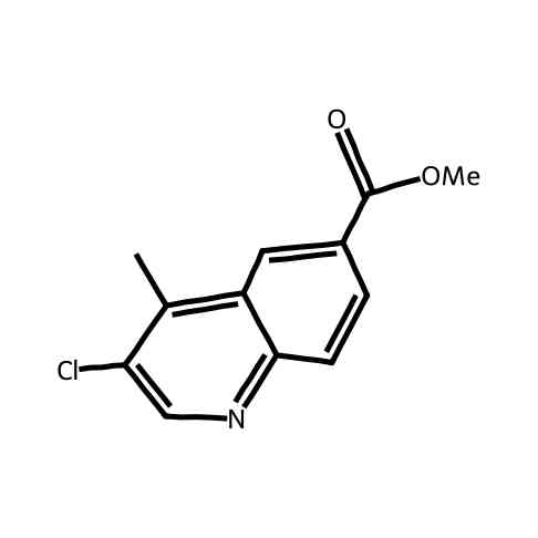 COC(=O)c1ccc2ncc(Cl)c(C)c2c1